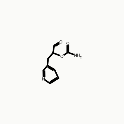 NC(=O)OC(C=O)Cc1cccnc1